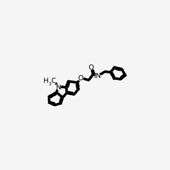 Cn1c2ccccc2c2ccc(OCC(=O)NCc3ccccc3)cc21